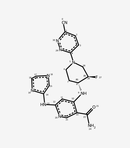 N#Cc1ccc(N2CC[C@@H](Nc3cc(Nc4cnccn4)ncc3C(N)=O)[C@H](F)C2)nn1